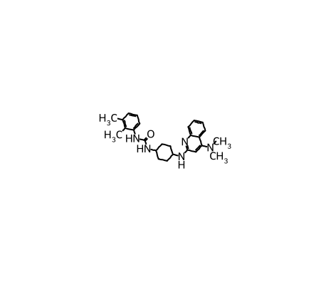 Cc1cccc(NC(=O)NC2CCC(Nc3cc(N(C)C)c4ccccc4n3)CC2)c1C